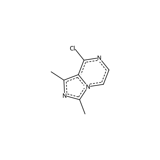 Cc1nc(C)n2ccnc(Cl)c12